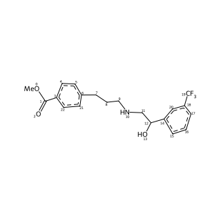 COC(=O)c1ccc(CCCNCC(O)c2cccc(C(F)(F)F)c2)cc1